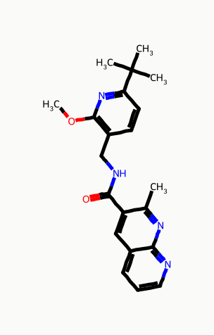 COc1nc(C(C)(C)C)ccc1CNC(=O)c1cc2cccnc2nc1C